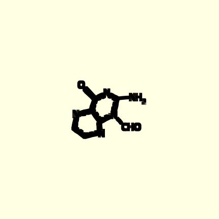 Nc1nc(=O)c2nccnc2n1C=O